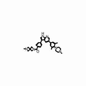 Cc1cc(-c2cnc3[nH]cc(-c4ccc(C(=O)N5CC6(CN(C)C6)C5)cc4)c3c2)cc(C)c1N1CCN(C)CC1